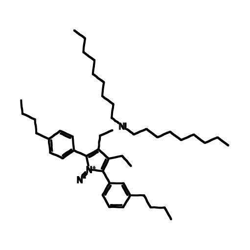 CCCCCCCC[CH2][Ni][CH2]CCCCCCCC.CCCCc1ccc(C2=C(CC)C(CC)=C(c3cccc(CCCC)c3)[N+]2=[N-])cc1